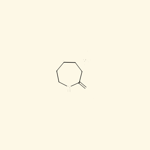 O=C1CCCCCN1.[Cl-].[Cl-].[Mg+2]